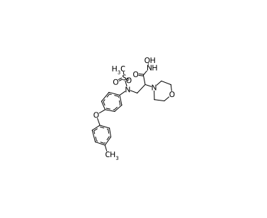 Cc1ccc(Oc2ccc(N(CC(C(=O)NO)N3CCOCC3)S(C)(=O)=O)cc2)cc1